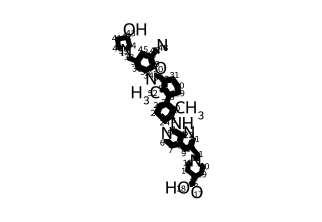 Cc1c(Nc2nccc3cc(CN4CCC(C(=O)O)CC4)cnc23)cccc1-c1cccc(-c2nc3cc(CN4CCC(O)C4)cc(C#N)c3o2)c1C